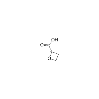 O=C(O)[C]1CCO1